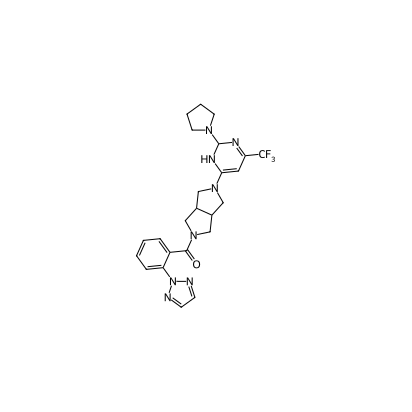 O=C(c1ccccc1-n1nccn1)N1CC2CN(C3=CC(C(F)(F)F)=NC(N4CCCC4)N3)CC2C1